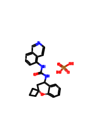 O=C(Nc1cccc2cnccc12)NC1CC2(CCC2)Oc2ccccc21.O=S(=O)(O)O